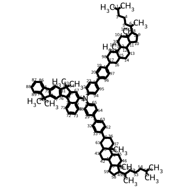 CC(C)CCCC(C)C1CCC2C3CCC4CC(c5ccc(-c6ccc(N(c7ccc(-c8ccc(C9CCC%10(C)C(CCC%11C%10CCC%10(C)C(C(C)CCCC(C)C)CCC%11%10)C9)cc8)cc7)c7cc8c(c9ccccc79)-c7cc9c(cc7C8(C)C)-c7ccccc7C9(C)C)cc6)cc5)CCC4(C)C3CCC12C